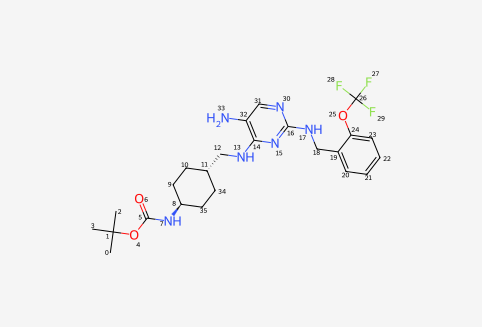 CC(C)(C)OC(=O)N[C@H]1CC[C@H](CNc2nc(NCc3ccccc3OC(F)(F)F)ncc2N)CC1